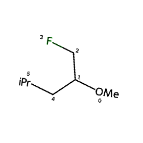 COC(CF)CC(C)C